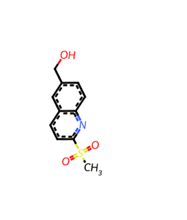 CS(=O)(=O)c1ccc2cc(CO)ccc2n1